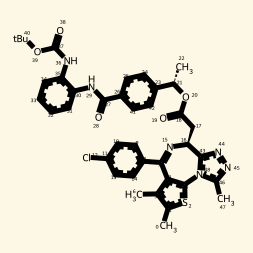 Cc1sc2c(c1C)C(c1ccc(Cl)cc1)=N[C@@H](CC(=O)O[C@@H](C)c1ccc(C(=O)Nc3ccccc3NC(=O)OC(C)(C)C)cc1)c1nnc(C)n1-2